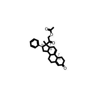 CC(=O)OCC(=O)C1(C)[C@H](c2ccccc2)CC2C3CCC4=CC(=O)CC[C@]4(C)C3=CC[C@@]21C